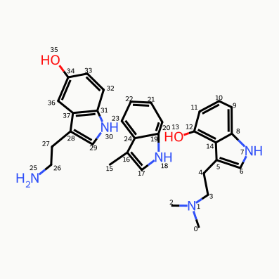 CN(C)CCc1c[nH]c2cccc(O)c12.Cc1c[nH]c2ccccc12.NCCc1c[nH]c2ccc(O)cc12